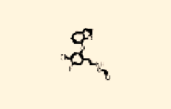 O=CONCCc1cc(F)c(Cl)cc1Oc1cccc2ccoc12